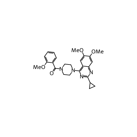 COc1cc2nc(C3CC3)nc(N3CCN(C(=O)c4ccccc4OC)CC3)c2cc1OC